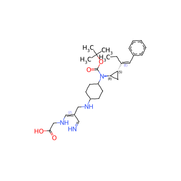 CC/C(=C\c1ccccc1)[C@@H]1C[C@H]1N(C(=O)OC(C)(C)C)C1CCC(NC/C(C=N)=C/NCC(=O)O)CC1